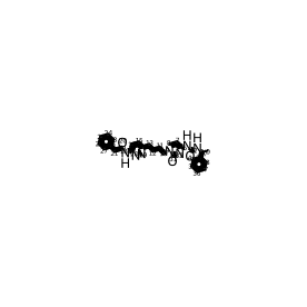 C[C@H](NC(=O)Nc1ccn(CCCCc2ccc(NC(=O)Cc3ccccc3)nn2)c(=O)n1)c1ccccc1